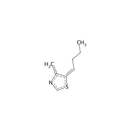 C=c1ncs/c1=C/CCC